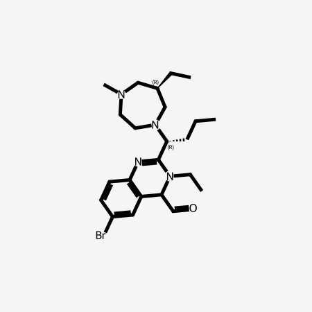 CCC[C@H](C1=Nc2ccc(Br)cc2C(C=O)N1CC)N1CCN(C)C[C@@H](CC)C1